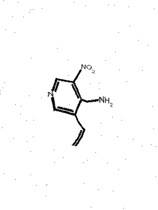 C=Cc1cncc([N+](=O)[O-])c1N